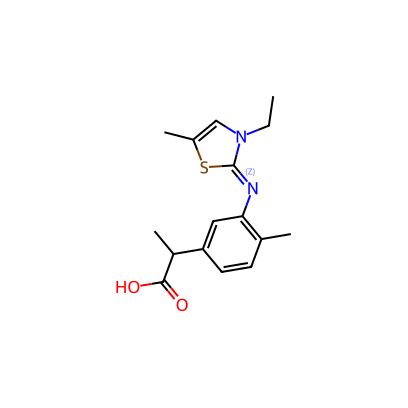 CCn1cc(C)s/c1=N\c1cc(C(C)C(=O)O)ccc1C